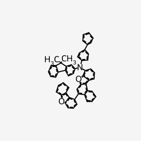 CC1(C)c2ccccc2-c2ccc(N(c3ccc(-c4ccccc4)cc3)c3cccc4c3oc3cc(-c5cccc6oc7ccccc7c56)c5ccccc5c34)cc21